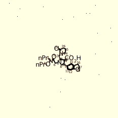 CCCON(CCC)C(=O)CN1C[C@H](c2ccc3c(c2)CCO3)[C@@H](C(=O)O)[C@@H]1CN1CCCC1=O